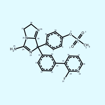 CS(=O)(=O)Oc1ccc(C2(c3cccc(-c4cccnc4F)c3)N=C(N)N3CCN=C32)cc1